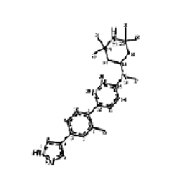 Cc1cc(-c2cn[nH]c2)ccc1-c1ccc(N(C)C2CC(C)(C)NC(C)(C)C2)nn1